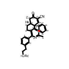 CC(=O)OCCc1cccc(-c2nc(C)nc3c2CC[C@H]2[C@H](C)C(=O)C(C#N)=C[C@]32c2ccccc2)c1